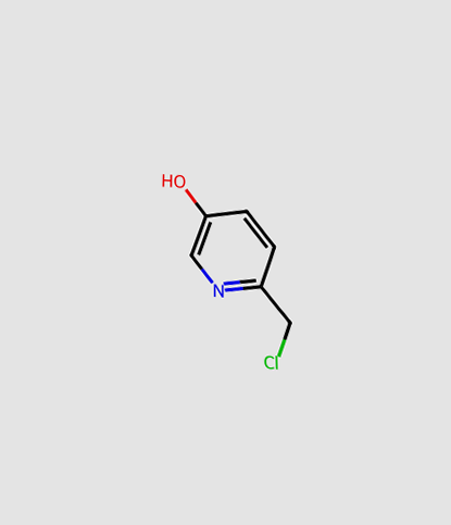 Oc1ccc(CCl)nc1